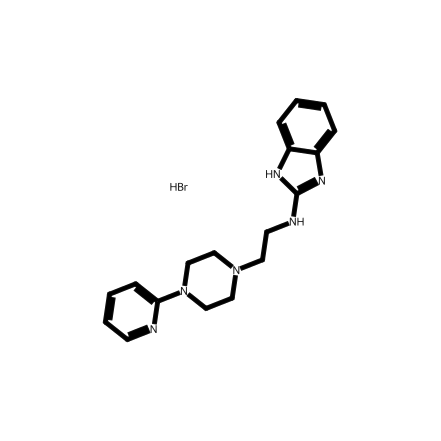 Br.c1ccc(N2CCN(CCNc3nc4ccccc4[nH]3)CC2)nc1